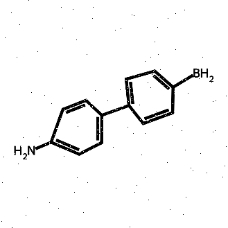 Bc1ccc(-c2ccc(N)cc2)cc1